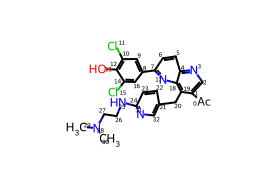 CC(=O)c1cnc2ccc(-c3cc(Cl)c(O)c(Cl)c3)nc2c1Cc1ccc(NCCN(C)C)nc1